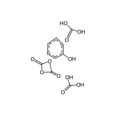 O=C(O)O.O=C(O)O.O=C1OC(=O)O1.Oc1ccccc1